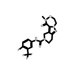 CN1OCCn2nc3c(c2C1=O)CN(C(=O)Nc1ccc(F)c(C(F)(F)F)c1)CC3